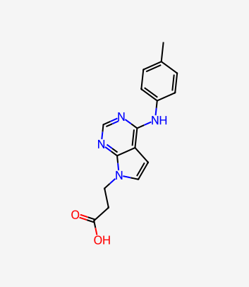 Cc1ccc(Nc2ncnc3c2ccn3CCC(=O)O)cc1